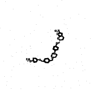 O=[N+]([O-])c1cn2c(n1)O[C@@H](COc1ccc(N3CCN(Cc4ccc(COc5ccc(OC(F)(F)F)cc5)cc4)CC3)cc1)CC2